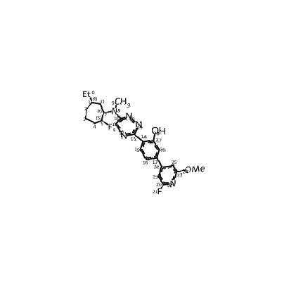 CC[C@@H]1CCC[C@H](F)[C@H](N(C)c2cnc(-c3ccc(-c4cc(F)nc(OC)c4)cc3O)nn2)C1